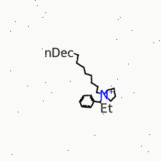 CCCCCCCCCCCCCCCCCC[N+]1(C(CC)c2ccccc2)CCCC1